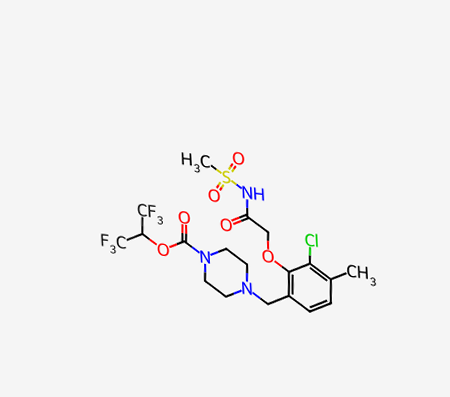 Cc1ccc(CN2CCN(C(=O)OC(C(F)(F)F)C(F)(F)F)CC2)c(OCC(=O)NS(C)(=O)=O)c1Cl